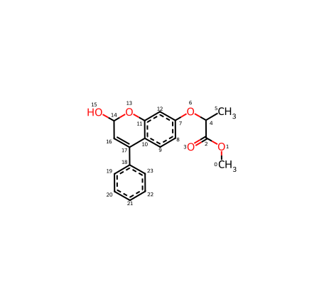 COC(=O)C(C)Oc1ccc2c(c1)OC(O)C=C2c1ccccc1